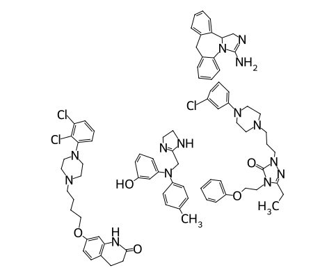 CCc1nn(CCCN2CCN(c3cccc(Cl)c3)CC2)c(=O)n1CCOc1ccccc1.Cc1ccc(N(CC2=NCCN2)c2cccc(O)c2)cc1.NC1=NCC2c3ccccc3Cc3ccccc3N12.O=C1CCc2ccc(OCCCCN3CCN(c4cccc(Cl)c4Cl)CC3)cc2N1